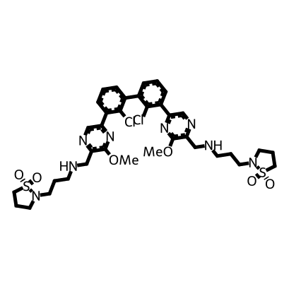 COc1nc(-c2cccc(-c3cccc(-c4cnc(CNCCCN5CCCS5(=O)=O)c(OC)n4)c3Cl)c2Cl)cnc1CNCCCN1CCCS1(=O)=O